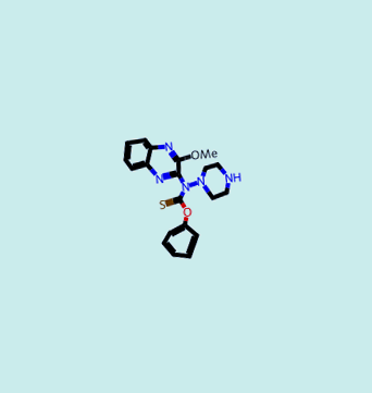 COc1nc2ccccc2nc1N(C(=S)Oc1ccccc1)N1CCNCC1